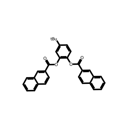 CC(C)(C)c1ccc(OC(=O)c2ccc3ccccc3c2)c(OC(=O)c2ccc3ccccc3c2)c1